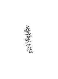 CCC[C@H]1CC[C@H](C2CCC(C(=O)Oc3ccc(-c4ccc(C#N)cc4)cc3)CC2)CC1